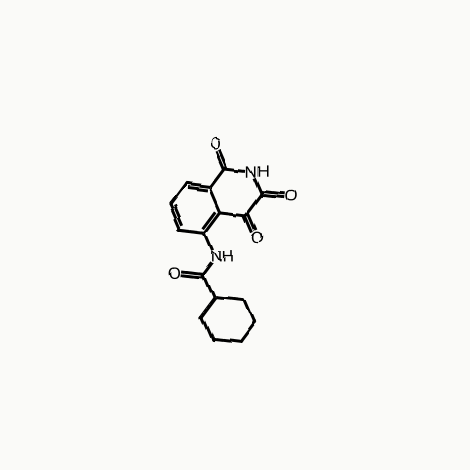 O=C1NC(=O)c2cccc(NC(=O)C3CCCCC3)c2C1=O